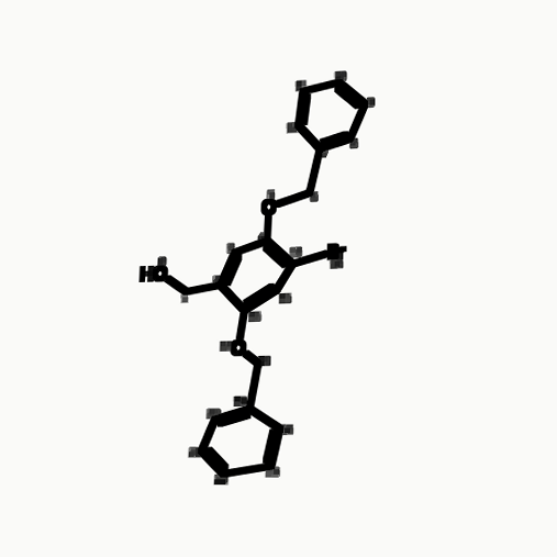 OCc1cc(OCc2ccccc2)c(Br)cc1OCc1ccccc1